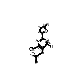 CC(=O)Cc1c(Cl)nc(-c2ccc(C)o2)nc1Cl